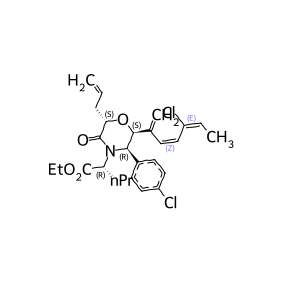 C=CC[C@@H]1O[C@@H](C(=C)/C=C\C(Cl)=C/C)[C@@H](c2ccc(Cl)cc2)N([C@H](CCC)C(=O)OCC)C1=O